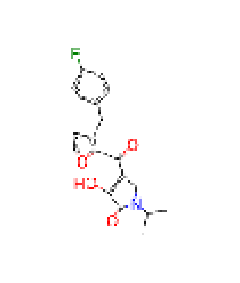 CC(C)N1CC(C(=O)c2occc2Cc2ccc(F)cc2)=C(O)C1=O